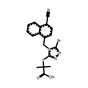 CC(C)(Sc1nnc(Br)n1Cc1ccc(C#N)c2ccccc12)C(=O)O